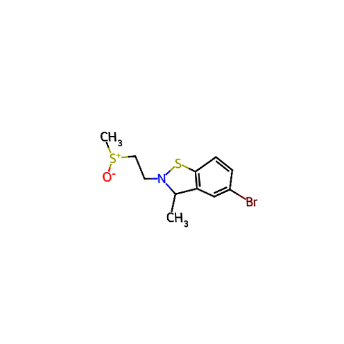 CC1c2cc(Br)ccc2SN1CC[S+](C)[O-]